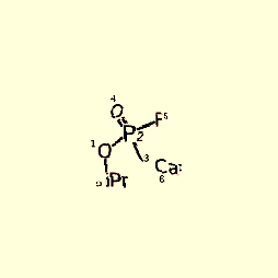 CC(C)OP(C)(=O)F.[Ca]